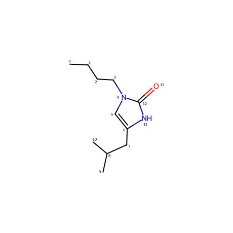 CCCCn1cc(CC(C)C)[nH]c1=O